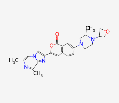 Cc1cn2cc(-c3cc4ccc(N5CCN(C6COC6)[C@@H](C)C5)cc4c(=O)o3)nc2c(C)n1